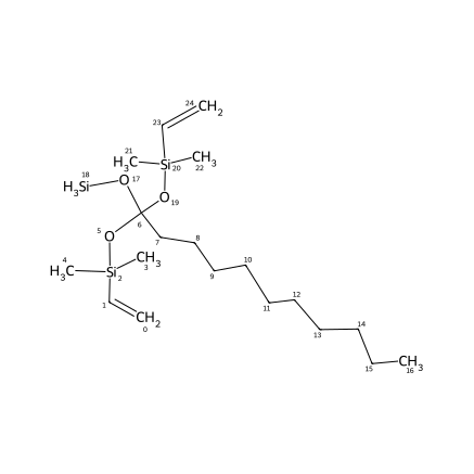 C=C[Si](C)(C)OC(CCCCCCCCCC)(O[SiH3])O[Si](C)(C)C=C